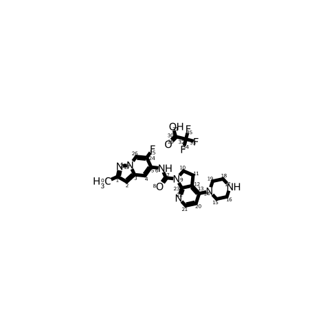 Cc1cc2cc(NC(=O)N3CCc4c(N5CCNCC5)ccnc43)c(F)cn2n1.O=C(O)C(F)(F)F